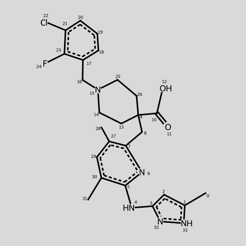 Cc1cc(Nc2nc(CC3(C(=O)O)CCN(Cc4cccc(Cl)c4F)CC3)c(C)cc2C)n[nH]1